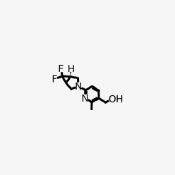 Cc1nc(N2CC3[C@H](C2)C3(F)F)ccc1CO